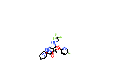 CC(C)(Oc1ccc(F)cn1)C(=O)NC1CC2CCC(C1)N2c1ccc(C(=O)NCC(F)(F)F)cn1